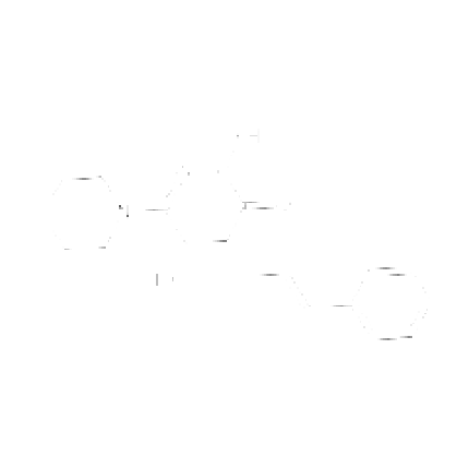 COC(=O)[C@H](C/C=C/c1ccccc1)[C@H](O)C(=O)N1CCOCC1